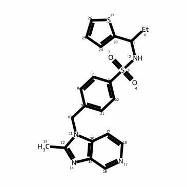 CCC(NS(=O)(=O)c1ccc(Cn2c(C)nc3cnccc32)cc1)c1cccs1